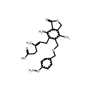 COc1ccc(COCc2c(C)c3c(c(N)c2CC=C(C)CCC(=O)O)C(=O)OC3)cc1